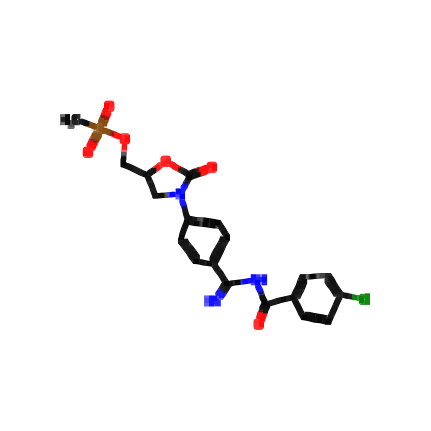 CS(=O)(=O)OCC1CN(c2ccc(C(=N)NC(=O)c3ccc(Cl)cc3)cc2)C(=O)O1